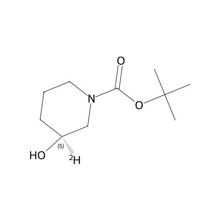 [2H][C@]1(O)CCCN(C(=O)OC(C)(C)C)C1